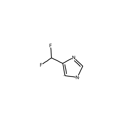 FC(F)C1=[C][N]C=N1